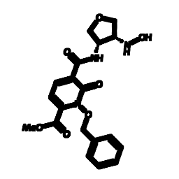 COC(=O)c1ccc(C(=O)N[C@@H]2COC[C@@H]2NO)c(=O)n1OCc1ccccc1